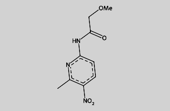 COCC(=O)Nc1ccc([N+](=O)[O-])c(C)n1